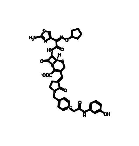 Nc1nc(/C(=N/OC2CCCC2)C(=O)N[C@@H]2C(=O)N3C(C(=O)[O-])=C(C=C4CCN(Cc5cc[n+](CC(=O)Nc6cccc(O)c6)cc5)C4=O)CS[C@H]23)cs1